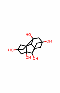 OC12CC3C4C5CC(O)(CC4(O)C1)CC5(O)C3(O)C2